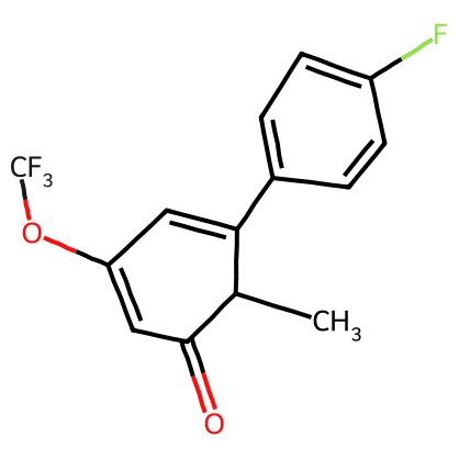 CC1C(=O)C=C(OC(F)(F)F)C=C1c1ccc(F)cc1